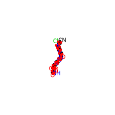 CC1CC2(CCN(c3ccc(C(=O)N4CCN(C5CCN(c6ccc7c(c6)C(=O)N(C6CCC(=O)NC6=O)C7=O)CC5)CC4)cc3)CC2)CN1c1ccc(C#N)c(Cl)c1